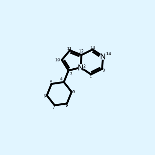 c1cn2c(C3CCCCC3)ccc2cn1